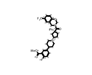 COC(=O)c1cc(C2CCN([C@@H]3CC[C@@](C(=O)N4COc5ccc(C(F)(F)F)cc5C4)(C(C)C)C3)CC2)ccc1F